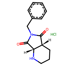 Cl.O=C1[C@H]2NCCC[C@H]2C(=O)N1Cc1ccccc1